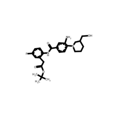 CC(C)(C)OC(=O)Cc1cc(F)ccc1NC(=O)c1ccc(N2CCCC(CO)C2)c(N)c1